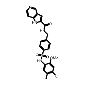 COc1cc(Cl)c(C)cc1NS(=O)(=O)c1ccc(CNC(=O)c2cc3cnccc3[nH]2)cc1